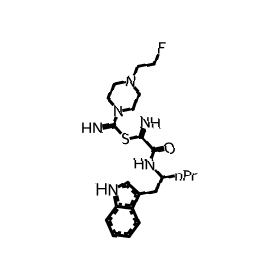 CCCC(Cc1c[nH]c2ccccc12)NC(=O)C(=N)SC(=N)N1CCN(CCF)CC1